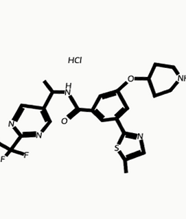 Cc1cnc(-c2cc(OC3CCNCC3)cc(C(=O)NC(C)c3cnc(C(F)(F)F)nc3)c2)s1.Cl